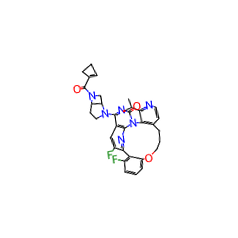 CC(C)c1nccc2c1-n1c(=O)nc(N3CCC4C3CN4C(=O)C3=CCC3)c3cc(F)c(nc31)-c1c(F)cccc1OCCC2